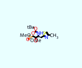 COP(=O)(CC(=O)[C@H](Cc1nc(C)cs1)NC(=O)OC(C)(C)C)OC